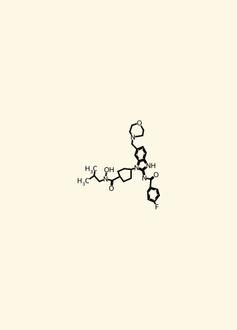 CC(C)CN(O)C(=O)C1CCC(n2c(=NC(=O)c3ccc(F)cc3)[nH]c3ccc(CN4CCOCC4)cc32)CC1